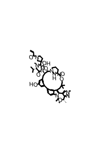 C=CC(=O)N1CC[C@](O)(C(=O)N(C)[C@H](C(=O)N[C@H]2Cc3cc(O)cc(c3)-c3ccc4c(c3)c(c(-c3cn(C)nc3[C@H](C)OC)n4CC)CC(C)(C)COC(=O)[C@@H]3CCCN(N3)C2=O)C(C)C)C1